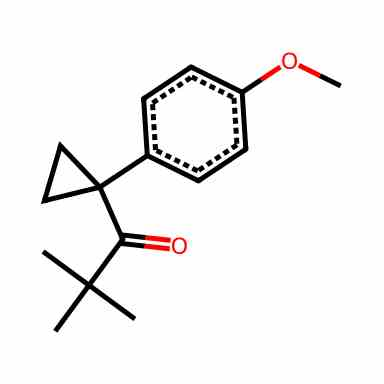 COc1ccc(C2(C(=O)C(C)(C)C)CC2)cc1